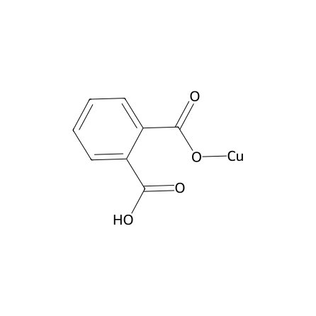 O=C(O)c1ccccc1C(=O)[O][Cu]